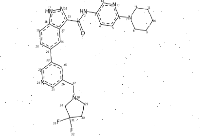 O=C(Nc1ccc(N2CCCCC2)nc1)c1n[nH]c2ccc(-c3cncc(CN4CCC(F)(F)C4)c3)cc12